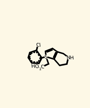 O=C(O)CS1(c2ccccc2Cl)C=CC2=C1CCNC2